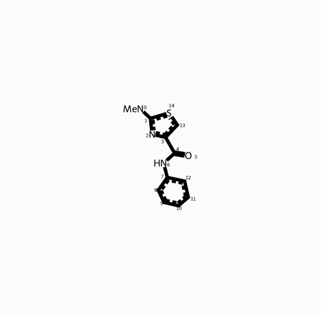 CNc1nc(C(=O)Nc2ccccc2)cs1